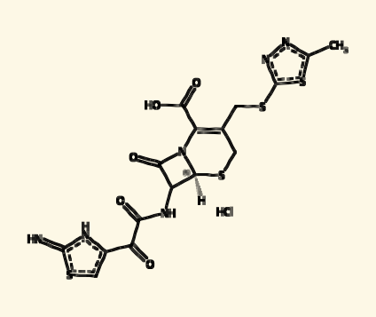 Cc1nnc(SCC2=C(C(=O)O)N3C(=O)C(NC(=O)C(=O)c4csc(=N)[nH]4)[C@@H]3SC2)s1.Cl